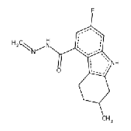 C=NNC(=O)c1cc(F)cc2[nH]c3c(c12)CCC(C)C3